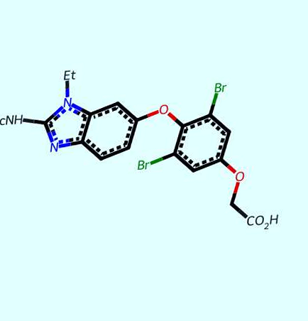 CCn1c(NC(C)=O)nc2ccc(Oc3c(Br)cc(OCC(=O)O)cc3Br)cc21